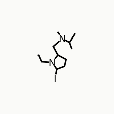 CCN1C(I)CCC1CN(C)C(C)C